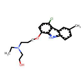 CCN(CCO)CCCOc1ccc(Cl)c2c1[nH]c1ccc(C)cc12